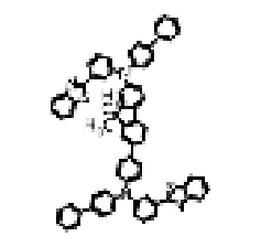 CC1(C)c2cc(-c3ccc(N(c4ccc(-c5ccccc5)cc4)c4cccc(-c5nc6ccccc6s5)c4)cc3)ccc2-c2ccc(N(c3ccc(-c4ccccc4)cc3)c3cccc(-c4nc5ccccc5s4)c3)cc21